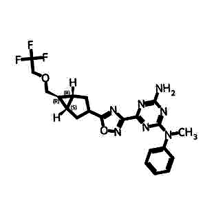 CN(c1ccccc1)c1nc(N)nc(-c2noc(C3C[C@@H]4[C@@H](COCC(F)(F)F)[C@@H]4C3)n2)n1